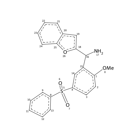 COc1ccc(S(=O)(=O)c2ccccc2)cc1C(N)c1cc2ccccc2o1